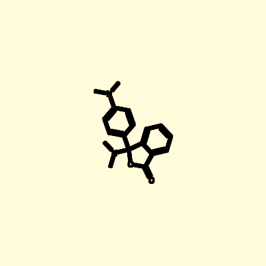 CN(C)c1ccc(C2(N(C)C)OC(=O)c3ccccc32)cc1